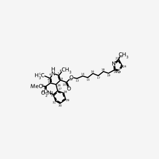 COC(=O)C1=C(C)NC(C)=C(C(=O)OCCCCCCCc2nc(C)cs2)C1c1ccccc1[N+](=O)[O-]